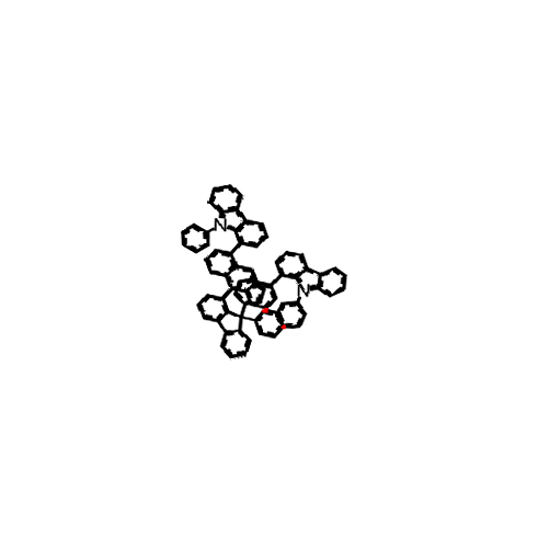 c1ccc(-n2c3ccccc3c3cccc(-c4cccc5c(-c6cccc7c6C(c6ccccc6)(c6ccccc6)c6ccccc6-7)c6cccc(-c7cccc8c9ccccc9n(-c9ccccc9)c78)c6cc45)c32)cc1